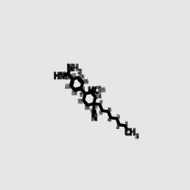 CCCCCCCCC1(C#N)CCC(c2ccc(C(=N)N)cc2)CC1.Cl